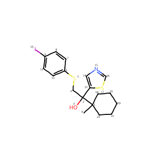 CC1(C(O)(CSc2ccc(I)cc2)c2cncs2)CCCCC1